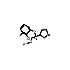 CC(C)OC[C@](I)(Oc1cccc(F)c1Cl)C1CCNC1